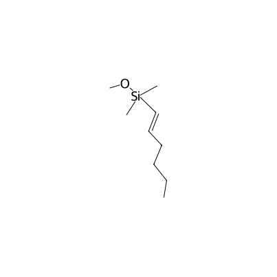 CCCC/C=C/[Si](C)(C)OC